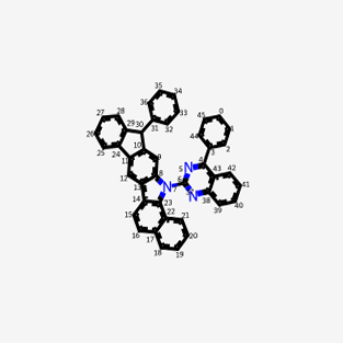 c1ccc(-c2nc(-n3c4cc5c(cc4c4ccc6ccccc6c43)-c3ccccc3C5c3ccccc3)nc3ccccc23)cc1